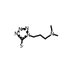 CN(C)CCCn1nnnc1[S]